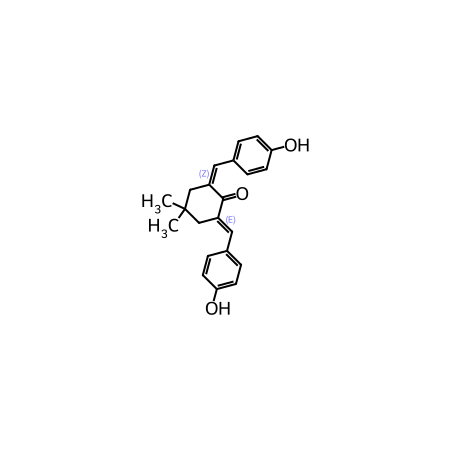 CC1(C)C/C(=C/c2ccc(O)cc2)C(=O)/C(=C/c2ccc(O)cc2)C1